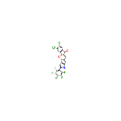 Cn1c(-c2c(F)c(F)c(F)c(F)c2F)cc2sc(C=C3C(=O)c4cc(Cl)c(Cl)cc4C3=O)cc21